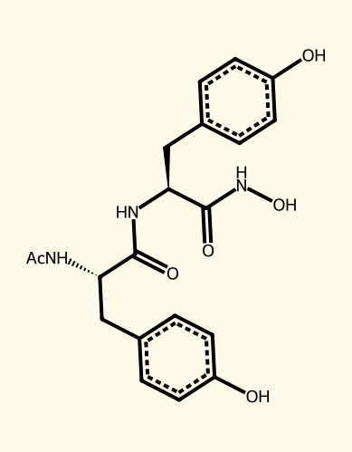 CC(=O)N[C@@H](Cc1ccc(O)cc1)C(=O)N[C@@H](Cc1ccc(O)cc1)C(=O)NO